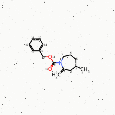 C=C1CC(C)CCCN1C(=O)OCc1ccccc1